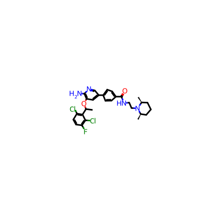 CC(Oc1cc(-c2ccc(C(=O)NCCN3[C@H](C)CCC[C@@H]3C)cc2)cnc1N)c1c(Cl)ccc(F)c1Cl